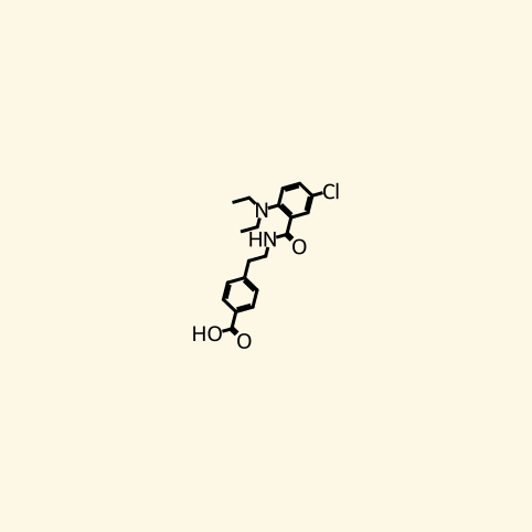 CCN(CC)c1ccc(Cl)cc1C(=O)NCCc1ccc(C(=O)O)cc1